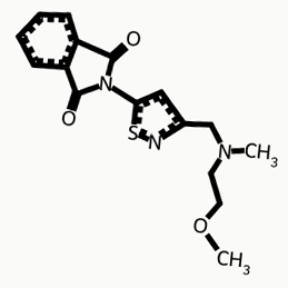 COCCN(C)Cc1cc(N2C(=O)c3ccccc3C2=O)sn1